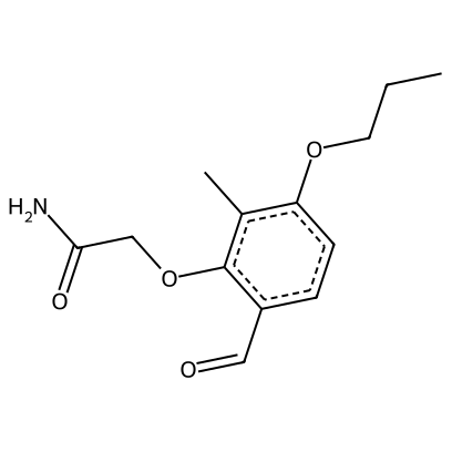 CCCOc1ccc(C=O)c(OCC(N)=O)c1C